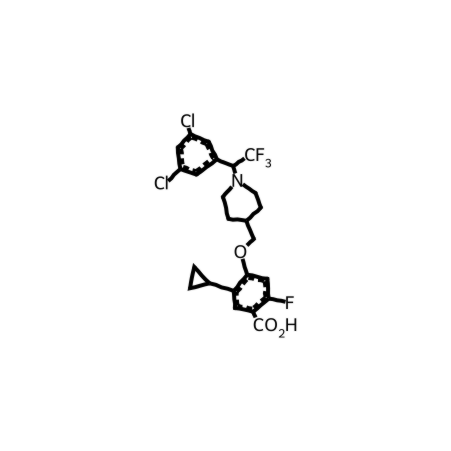 O=C(O)c1cc(C2CC2)c(OCC2CCN(C(c3cc(Cl)cc(Cl)c3)C(F)(F)F)CC2)cc1F